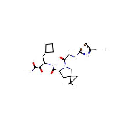 CCOC(=O)c1csc(N[C@@H](C(=O)N2CC3(C[C@H]2C(=O)NC(CC2CCC2)C(=O)C(N)=O)CC3(C)C)C(C)(C)C)n1